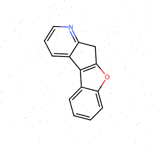 c1cnc2c(c1)-c1c(oc3ccccc13)C2